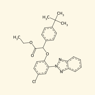 CCOC(=O)C(Oc1ccc(Cl)cc1-n1nc2ccccc2n1)c1ccc(C(C)(C)C)cc1